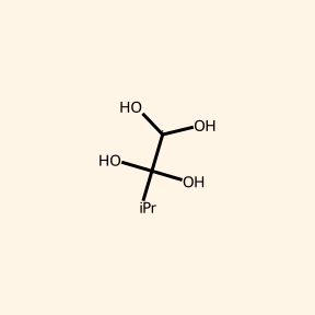 CC(C)C(O)(O)[C](O)O